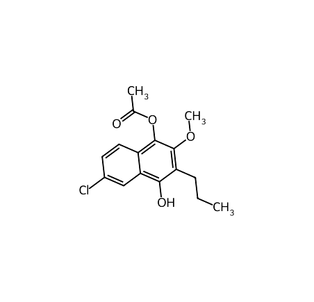 CCCc1c(OC)c(OC(C)=O)c2ccc(Cl)cc2c1O